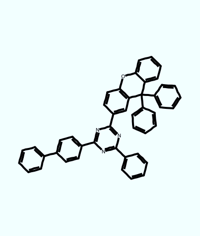 c1ccc(-c2ccc(-c3nc(-c4ccccc4)nc(-c4ccc5c(c4)C(c4ccccc4)(c4ccccc4)c4ccccc4O5)n3)cc2)cc1